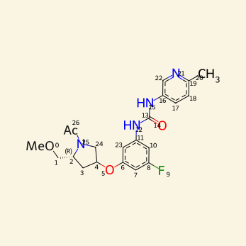 COC[C@H]1CC(Oc2cc(F)cc(NC(=O)Nc3ccc(C)nc3)c2)CN1C(C)=O